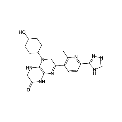 Cc1nc(-c2nnc[nH]2)ccc1C1=NC2=C(NCC(=O)N2)N(C2CCC(O)CC2)C1